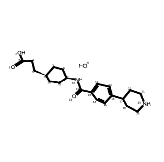 Cl.O=C(O)CC[C@H]1CC[C@@H](NC(=O)c2ccc(C3CCNCC3)cc2)CC1